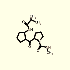 CNC(=O)N1CCCC1C(=O)C1CCCC1NC(=O)C(C)C